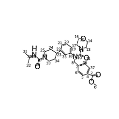 COC(=O)c1ccc(CN(C(=O)N2CCOCC2)c2cccc(C3CCN(C(=O)NC(C)C)CC3)c2)cc1